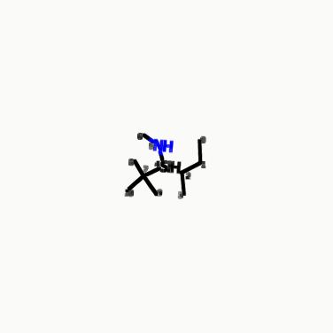 CCC(C)[SiH](NC)C(C)(C)C